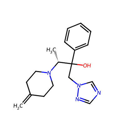 C=C1CCN([C@H](C)C(O)(Cn2cncn2)c2ccccc2)CC1